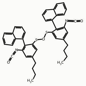 CCCCc1cc(N=C=O)c(-c2cccc3ccccc23)c(SOSc2cc(CCCC)cc(N=C=O)c2-c2cccc3ccccc23)c1